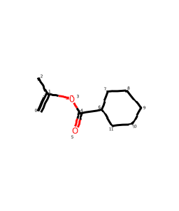 C=C(C)OC(=O)C1CCCCC1